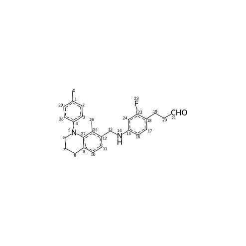 Cc1ccc(N2CCCc3ccc(CNc4ccc(CCC=O)c(F)c4)c(C)c32)cc1